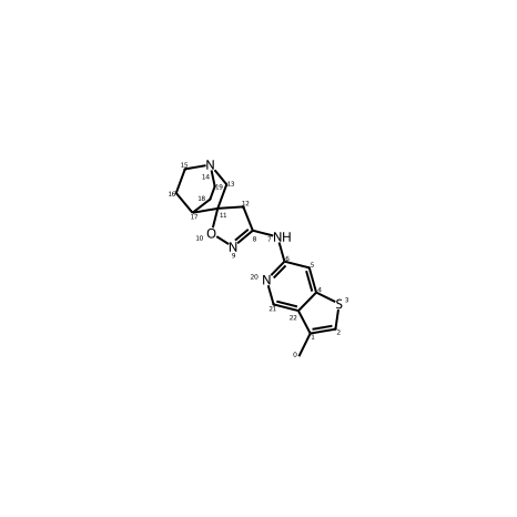 Cc1csc2cc(NC3=NOC4(C3)CN3CCC4CC3)ncc12